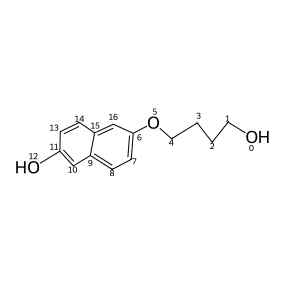 OCCCCOc1ccc2cc(O)ccc2c1